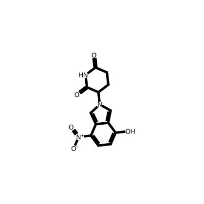 O=C1CCC(n2cc3c(O)ccc([N+](=O)[O-])c3c2)C(=O)N1